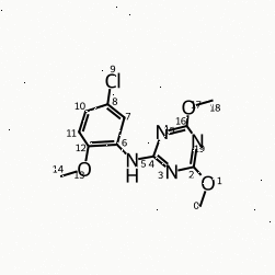 COc1nc(Nc2cc(Cl)ccc2OC)nc(OC)n1